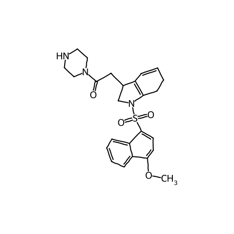 COc1ccc(S(=O)(=O)N2CC(CC(=O)N3CCNCC3)C3=C2CCC=C3)c2ccccc12